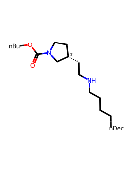 CCCCCCCCCCCCCCNCC[C@H]1CCN(C(=O)OCCCC)C1